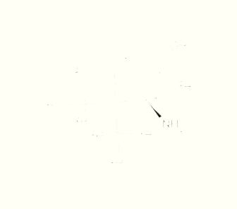 [2H]C([2H])(O)[C@@H](N)C(C)(C([2H])([2H])[2H])C([2H])([2H])[2H]